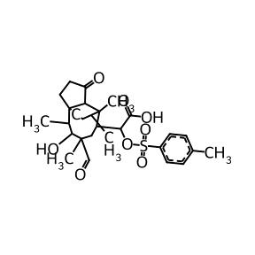 Cc1ccc(S(=O)(=O)OC(C(=O)O)C2CC(C)(C=O)C(O)C(C)C34CCC(=O)C3C2(C)C(C)CC4)cc1